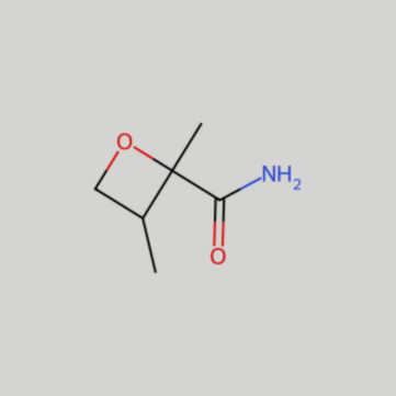 CC1COC1(C)C(N)=O